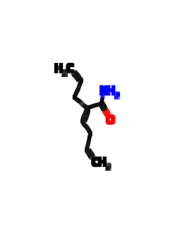 C=CCC=C(CC=C)C(N)=O